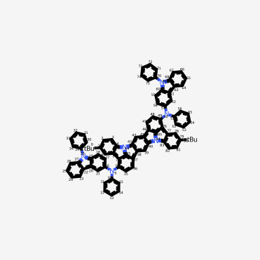 CC(C)(C)c1ccc2c(c1)c1c(N(c3ccccc3)c3ccc4c(c3)c3ccccc3n4-c3ccccc3)ccc3c4cc5c(cc4n2c31)c1ccc(N(c2ccccc2)c2ccc3c(c2)c2ccccc2n3-c2ccccc2)c2c3cc(C(C)(C)C)ccc3n5c12